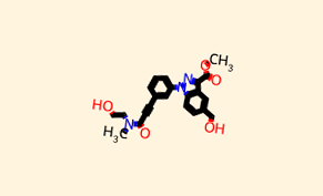 COC(=O)c1nn(-c2cccc(C#CC(=O)N(C)CCO)c2)c2ccc(CO)cc12